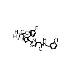 CC(C)(C)n1ncc(-c2nc(CC(=O)NCc3cccc(Cl)c3)cs2)c1-c1ccc(F)cc1